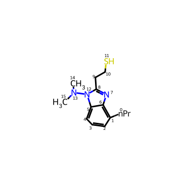 CCCc1cccc2c1nc(CCS)n2N(C)C